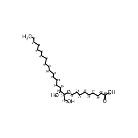 CCCCCCCCCCCCCCCCC(O)[C@H](CO)OCCCCCCCCC(=O)O